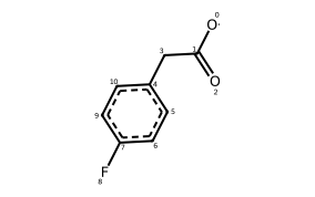 [O]C(=O)Cc1ccc(F)cc1